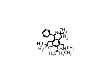 COc1c(C[N+](C)(C)C)c2c(c3c1OC(C)(C)C3)C(c1ccccc1)=NC(C)(C)C2.[I-]